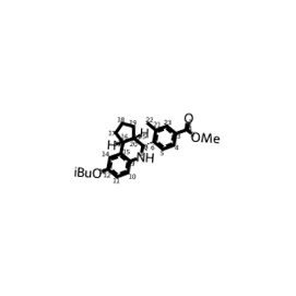 COC(=O)c1ccc([C@@H]2Nc3ccc(OCC(C)C)cc3[C@@H]3CCC[C@@H]32)c(C)c1